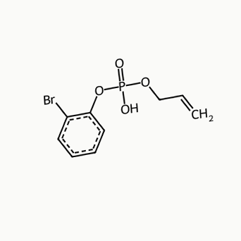 C=CCOP(=O)(O)Oc1ccccc1Br